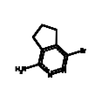 Nc1nnc(Br)c2c1CCC2